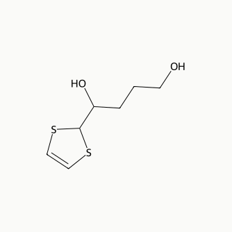 OCCCC(O)C1SC=CS1